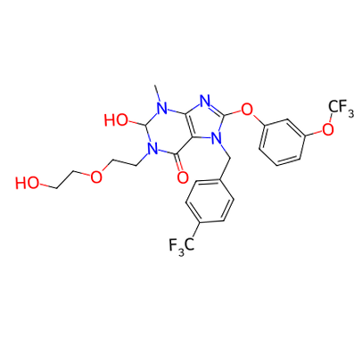 CN1c2nc(Oc3cccc(OC(F)(F)F)c3)n(Cc3ccc(C(F)(F)F)cc3)c2C(=O)N(CCOCCO)C1O